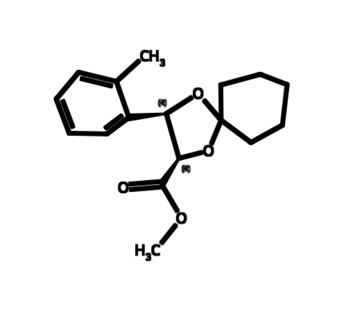 COC(=O)[C@@H]1OC2(CCCCC2)O[C@@H]1c1ccccc1C